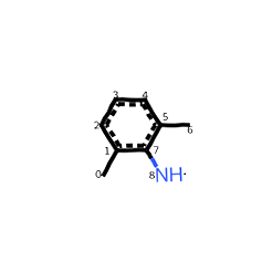 Cc1cccc(C)c1[NH]